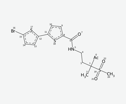 CC(=O)C(C)(CCNC(=O)c1ccc(-c2ccc(Br)s2)s1)S(C)(=O)=O